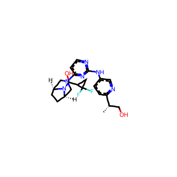 C[C@@H](CO)c1ccc(Nc2nccc(N3C[C@H]4CC[C@@H](C3)N4C(O)C3CC3(F)F)n2)cn1